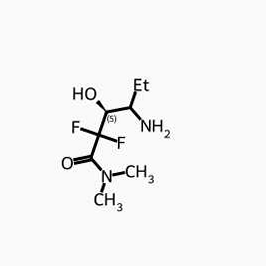 CCC(N)[C@H](O)C(F)(F)C(=O)N(C)C